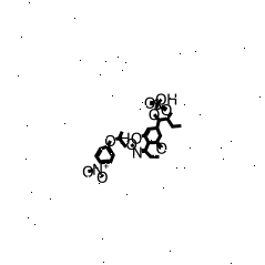 CCC(=NOCC(C)Oc1ccc([N+](=O)[O-])cc1)C1C(=O)CC(C(OS(=O)(=O)O)C(C)CC)C=C1O